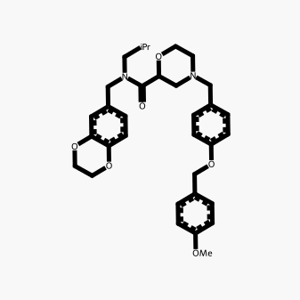 COc1ccc(COc2ccc(CN3CCOC(C(=O)N(Cc4ccc5c(c4)OCCO5)CC(C)C)C3)cc2)cc1